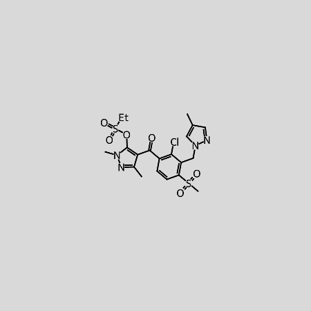 CCS(=O)(=O)Oc1c(C(=O)c2ccc(S(C)(=O)=O)c(Cn3cc(C)cn3)c2Cl)c(C)nn1C